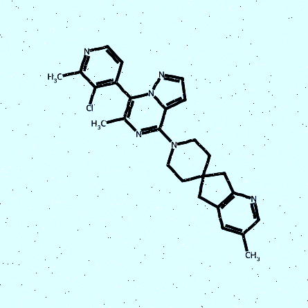 Cc1cnc2c(c1)CC1(CCN(c3nc(C)c(-c4ccnc(C)c4Cl)n4nccc34)CC1)C2